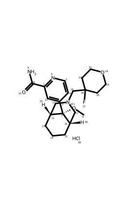 CO[C@@]1(c2ccnc(C(N)=O)c2)[C@@H]2CCC[C@H]1CN(CC1(F)CCOCC1)C2.Cl